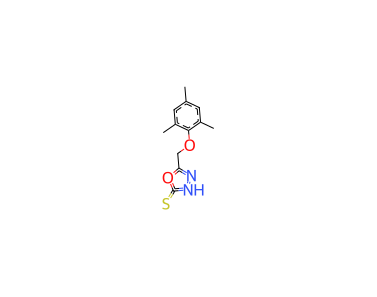 Cc1cc(C)c(OCc2n[nH]c(=S)o2)c(C)c1